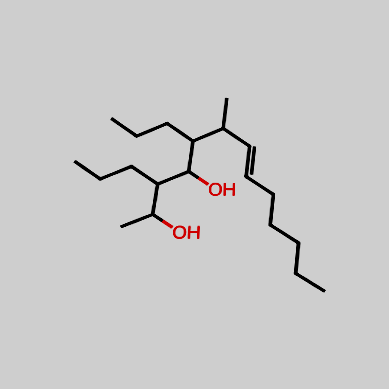 CCCCCC=CC(C)C(CCC)C(O)C(CCC)C(C)O